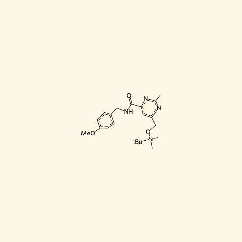 COc1ccc(CNC(=O)c2cc(CO[Si](C)(C)C(C)(C)C)nc(C)n2)cc1